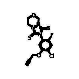 C#CCOc1cc(-n2c(=S)n3n(c2=S)COCC3)c(F)cc1Cl